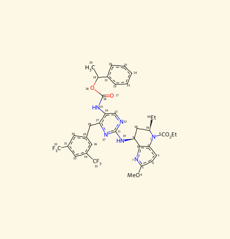 CCOC(=O)N1c2ccc(OC)nc2[C@@H](Nc2ncc(NC(=O)OC(C)c3ccccc3)c(Cc3cc(C(F)(F)F)cc(C(F)(F)F)c3)n2)C[C@H]1CC